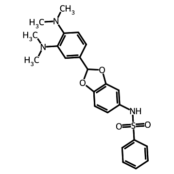 CN(C)c1ccc(C2Oc3ccc(NS(=O)(=O)c4ccccc4)cc3O2)cc1N(C)C